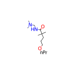 CCCOCCCC(C)(C)C(=O)NCN(C)C